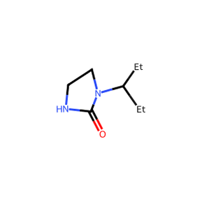 [CH2]CC(C[CH2])N1CCNC1=O